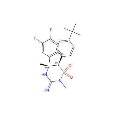 CN1C(=N)N[C@](C)(c2cc(F)c(F)cc2F)[C@@H](c2ccc(C(C)(C)C)cc2)S1(=O)=O